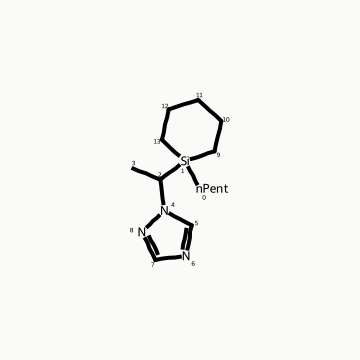 CCCCC[Si]1(C(C)n2cncn2)CCCCC1